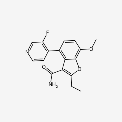 CCc1oc2c(OC)ccc(-c3ccncc3F)c2c1C(N)=O